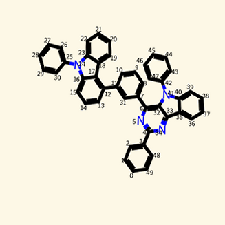 c1ccc(-c2nc(-c3cccc(-c4cccc5c4c4ccccc4n5-c4ccccc4)c3)c3c(n2)c2ccccc2n3-c2ccccc2)cc1